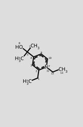 CCc1cc(C(C)(C)O)cc[n+]1CC